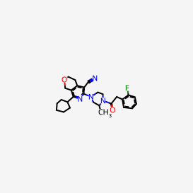 CC1CN(c2nc(C3CCCCC3)c3c(c2C#N)CCOC3)CCN1C(=O)Cc1ccccc1F